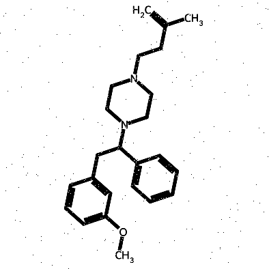 C=C(C)CCN1CCN(C(Cc2cccc(OC)c2)c2ccccc2)CC1